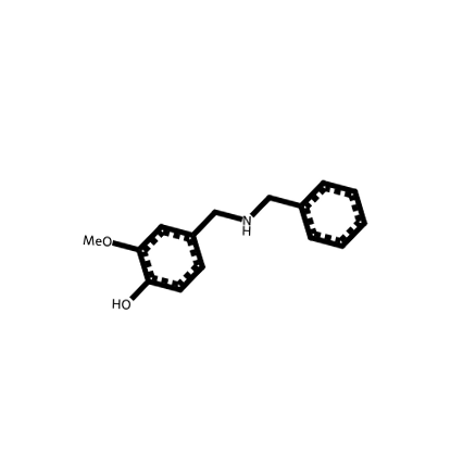 COc1cc(CNCc2ccccc2)ccc1O